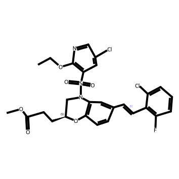 CCOc1ncc(Cl)cc1S(=O)(=O)N1C[C@H](CCC(=O)OC)Oc2ccc(/C=C/c3c(F)cccc3Cl)cc21